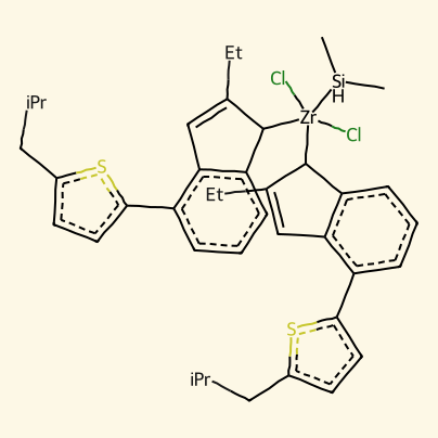 CCC1=Cc2c(-c3ccc(CC(C)C)s3)cccc2[CH]1[Zr]([Cl])([Cl])([CH]1C(CC)=Cc2c(-c3ccc(CC(C)C)s3)cccc21)[SiH](C)C